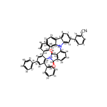 N#Cc1cccc(-c2ccc3c4ccccc4n(-c4cccc5c4C(=O)N(c4c(-c6ccccc6)cc(-c6ccccc6)cc4-c4ccccc4)C5=O)c3c2)c1